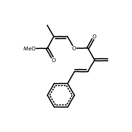 C=C(C=Cc1ccccc1)C(=O)OC=C(C)C(=O)OC